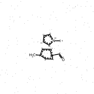 Cc1ccc(C=O)cc1.In1cccc1